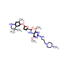 COc1nc(NCCCN2CCN(C)CC2)nc(OC)c1NC(=O)c1ccc(Oc2cc3c(cc2C)NCC[Si]3(C)C)o1